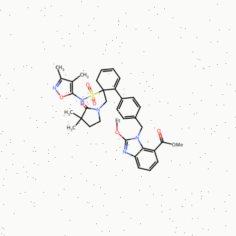 CCOc1nc2cccc(C(=O)OC)c2n1Cc1ccc(C2=CC=CCC2(CN2CCC(C)(C)C2=O)S(=O)(=O)Nc2onc(C)c2C)cc1